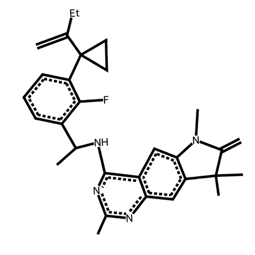 C=C1N(C)c2cc3c(NC(C)c4cccc(C5(C(=C)CC)CC5)c4F)nc(C)nc3cc2C1(C)C